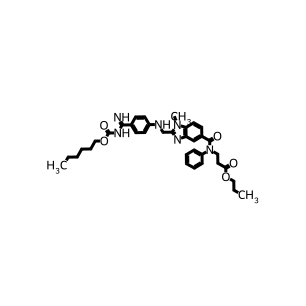 CCCCCCOC(=O)NC(=N)c1ccc(NCc2nc3cc(C(=O)N(CCC(=O)OCCC)c4ccccc4)ccc3n2C)cc1